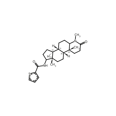 CN1C(=O)CC[C@@]2(C)C1CC[C@@H]1[C@H]2CC[C@]2(C)C(NC(=O)c3cccs3)CC[C@@H]12